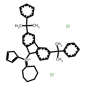 CC(C)(c1ccccc1)c1ccc2c(c1)-c1cc(C(C)(C)c3ccccc3)ccc1[CH]2[Zr+2]([C]1=CC=CC1)=[C]1CCCCCC1.[Cl-].[Cl-]